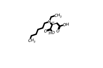 CCCCCCN(CC)[C@@H](CC(=O)O)C(=O)O